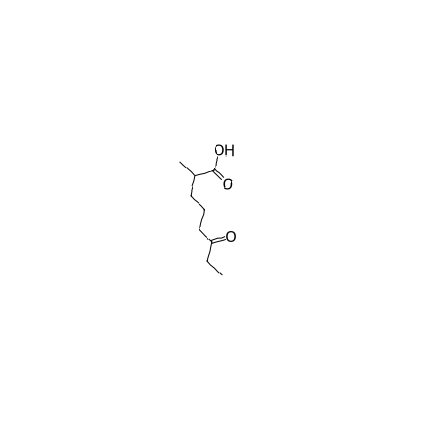 CCC(=O)CCCC(C)C(=O)O